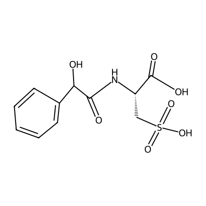 O=C(N[C@@H](CS(=O)(=O)O)C(=O)O)C(O)c1ccccc1